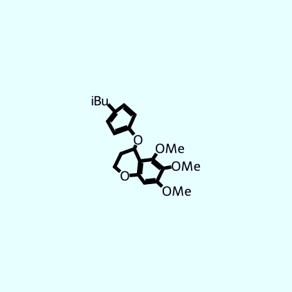 CCC(C)c1ccc(OC2CCOc3cc(OC)c(OC)c(OC)c32)cc1